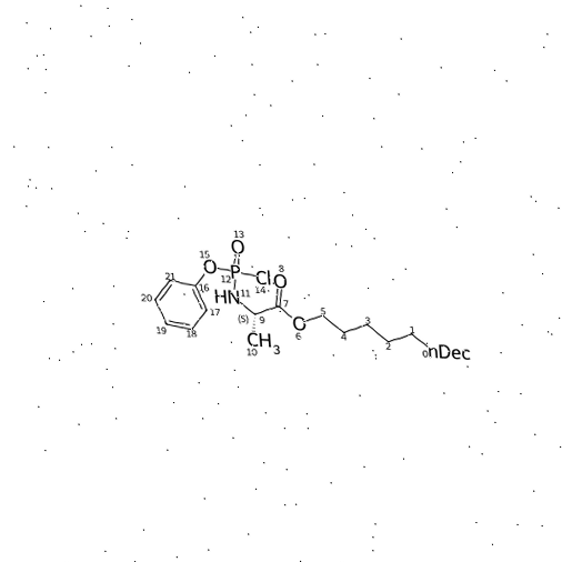 CCCCCCCCCCCCCCCOC(=O)[C@H](C)NP(=O)(Cl)Oc1ccccc1